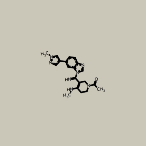 CNC1=C(C(=N)n2cnc3ccc(-c4cnn(C)c4)cc32)CN(C(C)=O)CC1